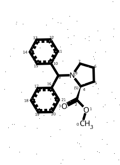 COC(=O)[C@@H]1CCCN1C(c1ccccc1)c1ccccc1